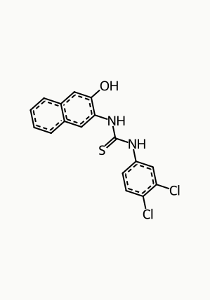 Oc1cc2ccccc2cc1NC(=S)Nc1ccc(Cl)c(Cl)c1